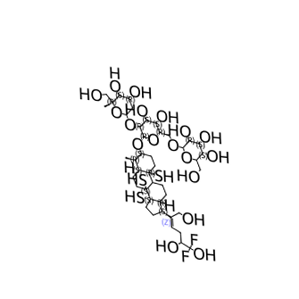 C[C@H]1[C@@H](O[C@@H]2O[C@H](COC3OC(CO)[C@@H](O)[C@H](O)[C@H]3O)[C@@H](O)[C@H](O)[C@H]2OC2C[C@@H](O)[C@H](O)[C@@](C)(CO)O2)CC[C@]2(S)C3CC[C@@H]4[C@@H](/C(=C/CC(O)C(O)(F)F)CO)CC[C@@]4(S)[C@]3(S)CC[C@@H]12